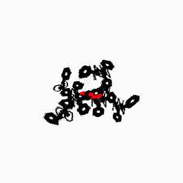 O=C(OCc1ccccc1)c1ccc2c(c1)N(c1ccccc1)c1cc(-c3ccc4c(c3)c3cc(-c5nc(-c6ccccc6)nc(-c6ccccc6)n5)ccc3n4-c3ccc(-c4nc(-c5ccccc5)nc(-c5ccccc5)n4)cc3-c3nc(-c4ccccc4)nc(-c4ccccc4)n3)cc3c1B2c1ccc(C(=O)OCc2ccccc2)cc1N3c1ccccc1